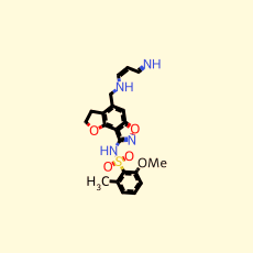 COc1cccc(C)c1S(=O)(=O)Nc1noc2cc(CN/C=C\C=N)c3c(c12)OCC3